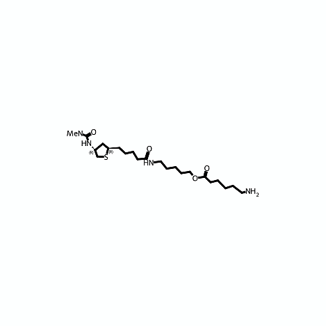 CNC(=O)N[C@H]1CS[C@H](CCCCC(=O)NCCCCCOC(=O)CCCCCN)C1